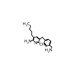 CCCCCc1cc(Cc2ccc(CN)cc2)c(C)nc1N